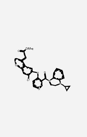 COC(=O)Cc1coc2cc(Cl)c(Oc3ccncc3C(=O)N3CCN(C4CC4)c4ccccc43)cc12